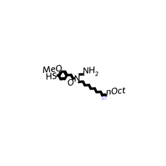 CCCCCCCC/C=C\CCCCCCCCN(CCN)C(=O)Cc1ccc(S)c(OC)c1